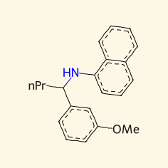 CCCC(Nc1cccc2ccccc12)c1cccc(OC)c1